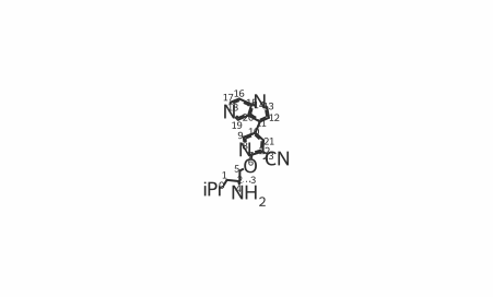 CC(C)C[C@](C)(N)COc1ncc(-c2ccnc3ccncc23)cc1C#N